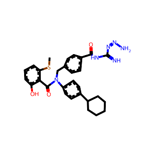 CSc1cccc(O)c1C(=O)N(Cc1ccc(C(=O)NC(=N)/N=N\N)cc1)c1ccc(C2CCCCC2)cc1